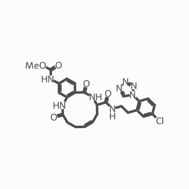 COC(=O)Nc1ccc2c(c1)NC(=O)CC/C=C\CC(C(=O)NCCc1cc(Cl)ccc1-n1cnnn1)NC2=O